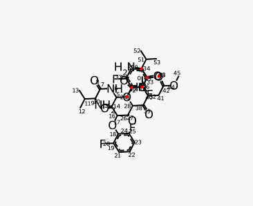 COC(=O)CC(NC(=O)C(N)C(C)C)C(=O)C(Oc1c(F)cccc1F)C(=O)C(Oc1c(F)cccc1F)C(=O)C(CC(=O)OC)NC(=O)C(N)C(C)C